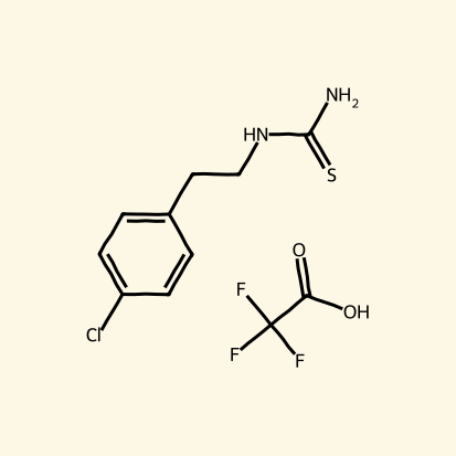 NC(=S)NCCc1ccc(Cl)cc1.O=C(O)C(F)(F)F